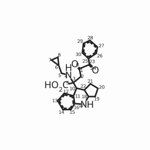 O=C(CC(NCC1CC1)(C(=O)O)C1c2ccccc2NC2CCCC21)C(=O)c1ccccc1